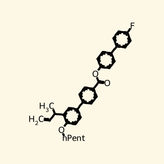 C=CC(C)c1cc(-c2ccc(C(=O)Oc3ccc(-c4ccc(F)cc4)cc3)cc2)ccc1OCCCCC